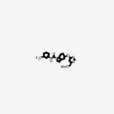 COCc1cc(Oc2ccc3c(ccn3C(=O)Nc3cccc(C(F)(F)F)c3)c2)ncn1